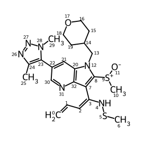 C=C/C=C(/NSC)c1c([S+](C)[O-])n(CC2CCOCC2)c2cc(-c3c(C)nnn3C)cnc12